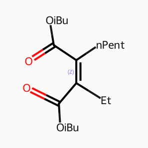 CCCCC/C(C(=O)OCC(C)C)=C(\CC)C(=O)OCC(C)C